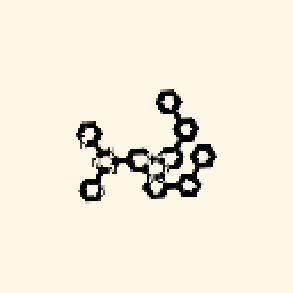 C1=CN2B3C=C(c4nc(-c5ccccn5)nc(-c5ccccn5)n4)C=CN3B3C=C(c4cccc(-c5ccccc5)c4)C=CN3B2C(c2cccc(-c3ccccc3)c2)=C1